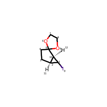 IC1[C@H]2CCC3(OCCO3)[C@@H]12